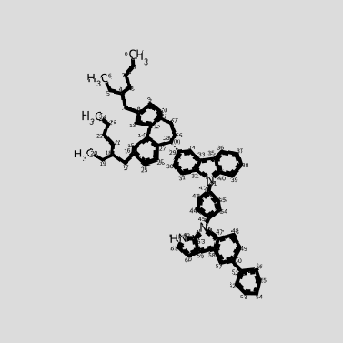 CCCCC(CC)Cc1ccc2c(c1)-c1cc(CC(CC)CCCC)ccc1[C@@H](c1ccc3c(c1)c1ccccc1n3-c1ccc(-n3c4ccc(-c5ccccc5)cc4c4cc[nH]c43)cc1)CC2